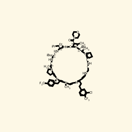 CCC1NCC2[C@@H](C(=O)N3CCOCC3)C(C)N2[C@@H]([C@@H](C)CC)C(C)NC2(CCCC2)CNCCNC=CC(CCc2ccc(C(F)(F)F)c(Cl)c2)=NC=CN(C)C=C(Cc2ccc(C(F)(F)F)cc2)N(C)C=C2CCCN2[C@@H](C)CN[C@@H]([C@@H](C)CC)CN[C@H]1CC(C)C